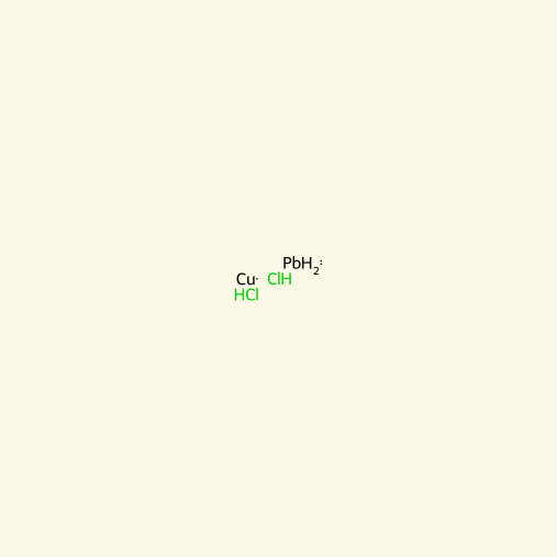 Cl.Cl.[Cu].[PbH2]